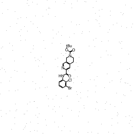 CC(C)(C)OC(=O)N1CCc2cc(C(=O)Nc3cccc(Br)c3Cl)ncc2C1